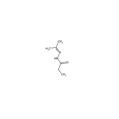 CCC(=O)NN=C(C)C